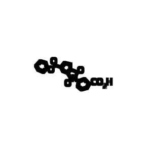 O=C(O)c1cccc(N2C(=O)c3ccc(C(=O)Oc4ccccc4)cc3C2=O)c1